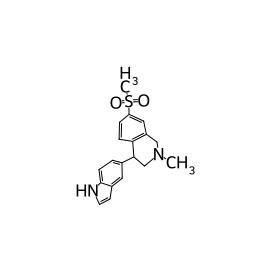 CN1Cc2cc(S(C)(=O)=O)ccc2C(c2ccc3[nH]ccc3c2)C1